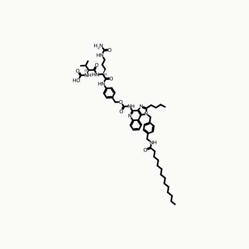 CCCCCCCCCCCCCC(=O)NCc1ccc(Cn2c(CCCC)nc3c(NC(=O)OCc4ccc(NC(=O)[C@H](CCCNC(N)=O)NC(=O)[C@@H](NC(=O)O)C(C)C)cc4)nc4ccccc4c32)cc1